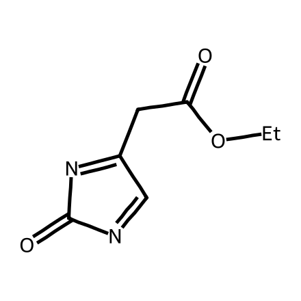 CCOC(=O)CC1=NC(=O)N=C1